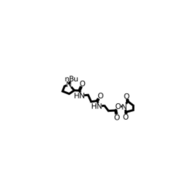 CCCCN1CCCC1C(=O)NCCC(=O)NCCC(=O)ON1C(=O)CCC1=O